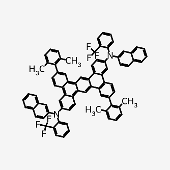 Cc1cccc(C)c1-c1ccc2c(c1)c1cc3c4ccc(N(c5ccc6ccccc6c5)c5ccccc5C(F)(F)F)cc4c4ccc(-c5c(C)cccc5C)cc4c3cc1c1ccc(N(c3ccc4ccccc4c3)c3ccccc3C(F)(F)F)cc21